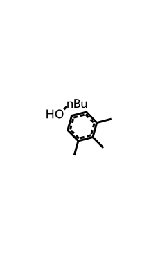 CCCCO.Cc1cccc(C)c1C